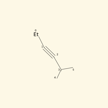 [CH2]CC#C[C](C)C